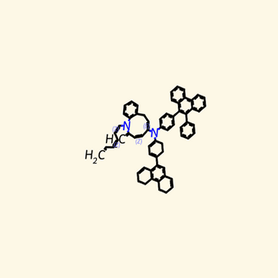 C=C/C=C\C=C/N1C(=C)/C=C\C(N(C2=CC=C(c3cc4c(c5c3C=CCC5)CCC=C4)CC2)c2ccc(-c3c(-c4ccccc4)c4ccccc4c4ccccc34)cc2)=C/Cc2ccccc21